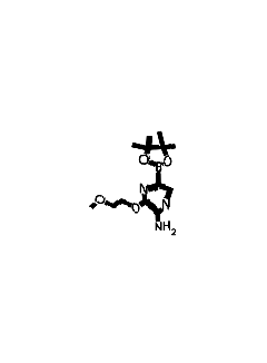 COCCOc1nc(B2OC(C)(C)C(C)(C)O2)cnc1N